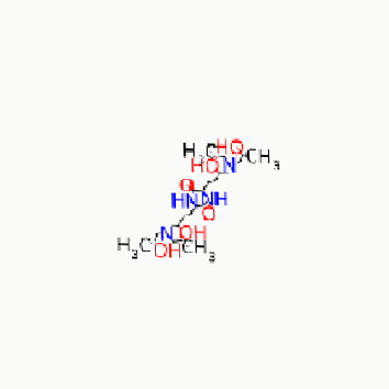 C[C@@H](O)CN(CCCCC1NC(=O)C(CCCCN(C[C@@H](C)O)C[C@@H](C)O)NC1=O)C[C@@H](C)O